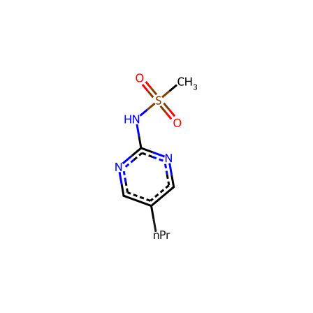 CCCc1cnc(NS(C)(=O)=O)nc1